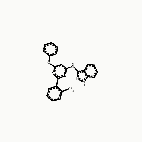 FC(F)(F)c1ccccc1-c1nc(Nc2n[nH]c3ccccc23)cc(Oc2ccccc2)n1